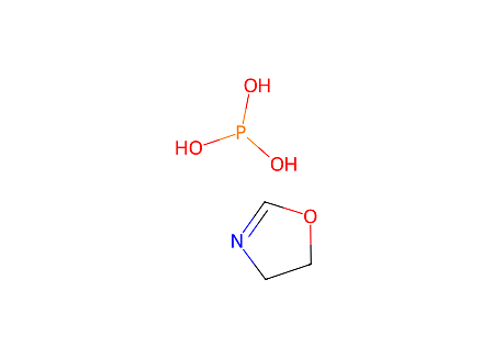 C1=NCCO1.OP(O)O